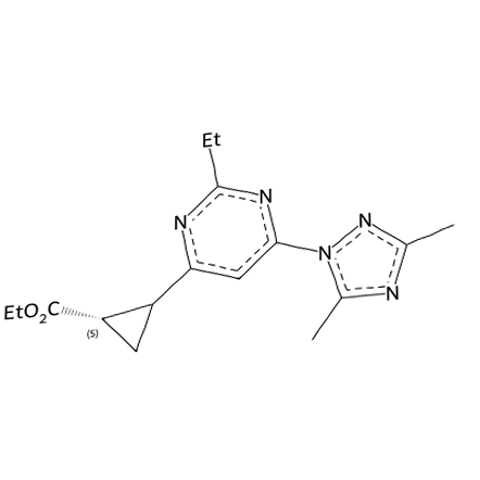 CCOC(=O)[C@H]1CC1c1cc(-n2nc(C)nc2C)nc(CC)n1